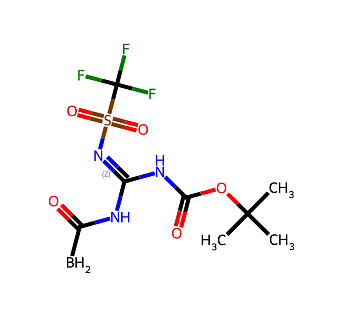 BC(=O)N/C(=N/S(=O)(=O)C(F)(F)F)NC(=O)OC(C)(C)C